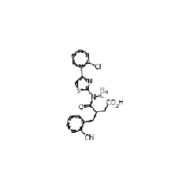 CN(C(=O)C(CC(=O)O)Cc1ccccc1C#N)c1nc(-c2ccccc2Cl)cs1